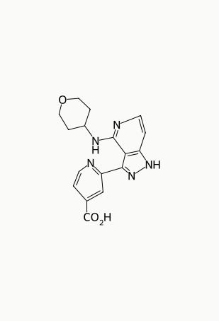 O=C(O)c1ccnc(-c2n[nH]c3ccnc(NC4CCOCC4)c23)c1